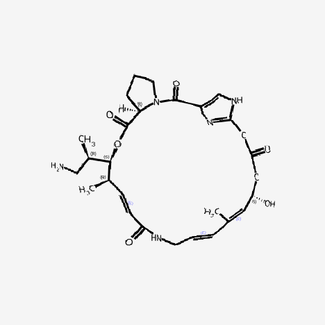 CC1=C\[C@@H](O)CC(=O)Cc2nc(c[nH]2)C(=O)N2CCC[C@@H]2C(=O)O[C@H]([C@H](C)CN)[C@H](C)/C=C/C(=O)NC\C=C\1